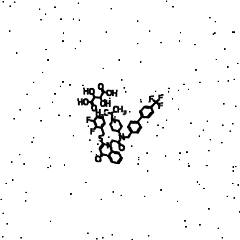 CC(C)N1CCC(N(Cc2ccc(-c3ccc(C(F)(F)F)cc3)cc2)C(=O)Cn2c(SCc3cccc(F)c3F)cc(=O)c3ccccc32)CC1.O=C(O)C(O)C(O)C(=O)O